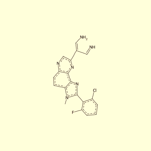 Cn1c(-c2c(F)cccc2Cl)nc2c3nc(/C(C=N)=C/N)cnc3ccc21